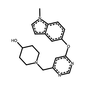 Cn1ccc2cc(Oc3cc(CN4CCC(O)CC4)ncn3)ccc21